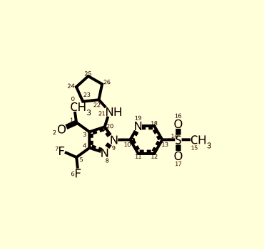 CC(=O)c1c(C(F)F)nn(-c2ccc(S(C)(=O)=O)cn2)c1NC1CCCC1